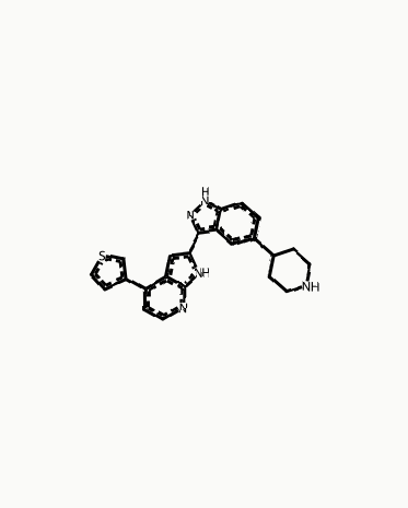 c1cc(-c2ccsc2)c2cc(-c3n[nH]c4ccc(C5CCNCC5)cc34)[nH]c2n1